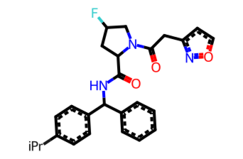 CC(C)c1ccc(C(NC(=O)C2CC(F)CN2C(=O)Cc2ccon2)c2ccccc2)cc1